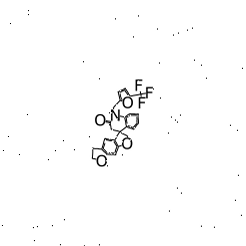 O=C1CC2(COc3cc4c(cc32)CCO4)c2ccccc2N1Cc1ccc(C(F)(F)F)o1